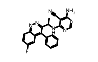 CC(Nc1ncnc(N)c1C#N)c1nnc2ccc(F)cc2c1-c1ccccc1